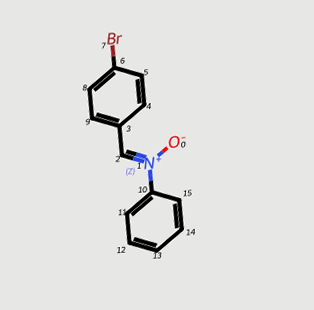 [O-]/[N+](=C\c1ccc(Br)cc1)c1ccccc1